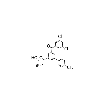 CC(C)CC(C(=O)O)c1cc(C(=O)c2cc(Cl)cc(Cl)c2)cc(-c2ccc(C(F)(F)F)cc2)c1